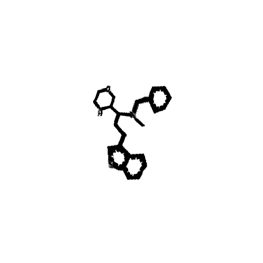 CN(Cc1ccccc1)C(CCc1csc2ccccc12)C1COCCN1